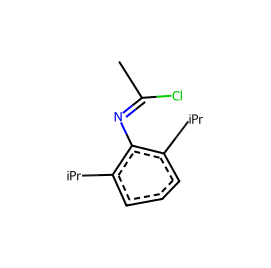 CC(Cl)=Nc1c(C(C)C)cccc1C(C)C